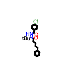 CC(C)(C)N(NC(=O)c1ccc(Cl)cc1)C(=O)CCCCc1ccccc1